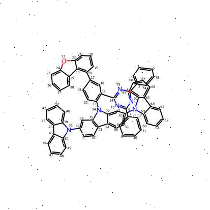 c1ccc(-c2nc(-c3ccccc3)nc(-c3cc(-c4cccc5oc6ccccc6c45)ccc3-n3c4cc(-n5c6ccccc6c6ccccc65)ccc4c4ccc(-n5c6ccccc6c6ccccc65)cc43)n2)cc1